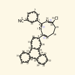 N#Cc1cccc(C2=N/C(c3ccc4c5ccccc5c5ccccc5c4c3)=C\CC/C(Cl)=N\2)c1